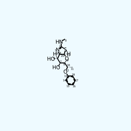 CNC1=N[C@@H]2[C@@H](O)[C@H](O)[C@@H]([C@H](C)Oc3ccccc3)O[C@@H]2S1